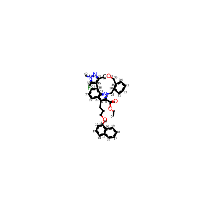 CCOC(=O)c1c(CCCOc2cccc3ccccc23)c2ccc(F)c3c2n1Cc1ccccc1COCc1nn(C)c(C)c1-3